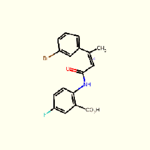 C/C(=C/C(=O)Nc1ccc(F)cc1C(=O)O)c1cccc(Br)c1